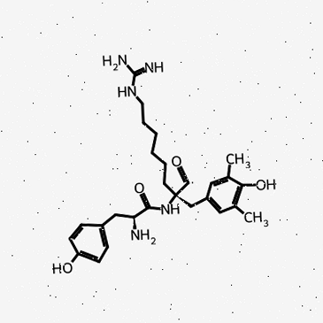 Cc1cc(C[C@]([C]=O)(CCCCCCNC(=N)N)NC(=O)[C@@H](N)Cc2ccc(O)cc2)cc(C)c1O